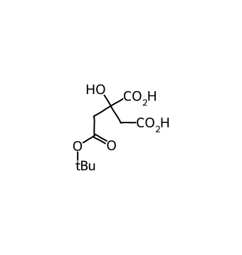 CC(C)(C)OC(=O)CC(O)(CC(=O)O)C(=O)O